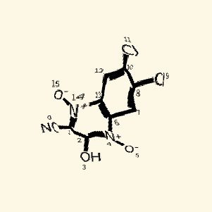 N#Cc1c(O)[n+]([O-])c2cc(Cl)c(Cl)cc2[n+]1[O-]